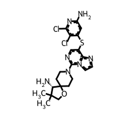 CC1(C)COC2(CCN(c3ncc(Sc4cc(N)nc(Cl)c4Cl)c4nccn34)CC2)[C@H]1N